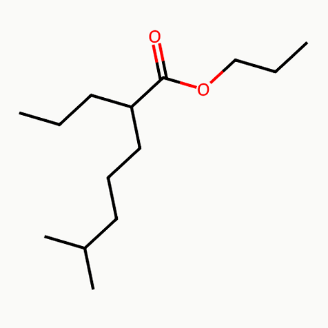 CCCOC(=O)C(CCC)CCCC(C)C